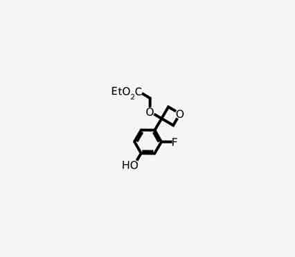 CCOC(=O)COC1(c2ccc(O)cc2F)COC1